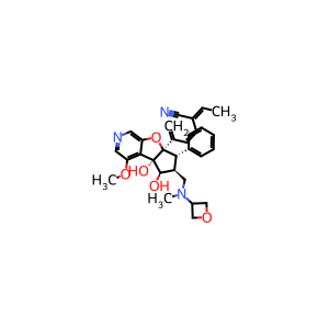 C=C(/C=C\C(C#N)=C/C)[C@@]12Oc3cncc(OC)c3[C@]1(O)[C@H](O)[C@H](CN(C)C1COC1)[C@H]2c1ccccc1